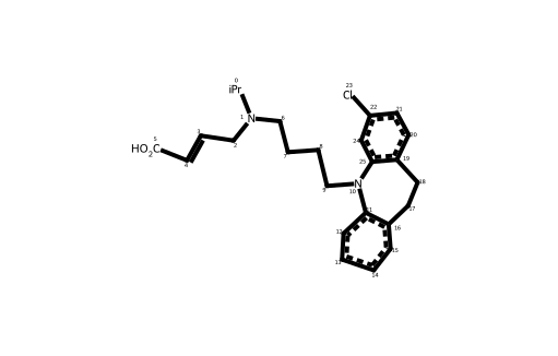 CC(C)N(C/C=C/C(=O)O)CCCCN1c2ccccc2CCc2ccc(Cl)cc21